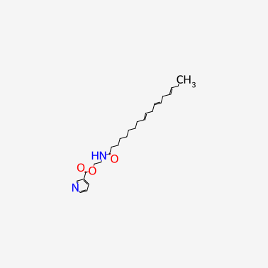 CCC=CCC=CCC=CCCCCCCCC(=O)NCCOC(=O)c1cccnc1